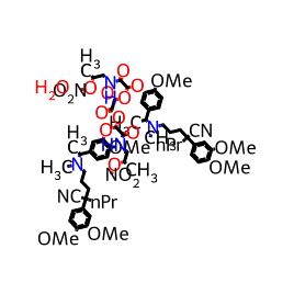 CCCC(C#N)(CCCN(C)C(C)c1ccc(OC)c(OC(OC(=O)C(=O)OC(Oc2cc(C(C)N(C)CCCC(C#N)(CCC)c3ccc(OC)c(OC)c3)ccc2OC)C(=O)NCC(C)O[N+](=O)[O-])C(=O)NCC(C)O[N+](=O)[O-])c1)c1ccc(OC)c(OC)c1.O